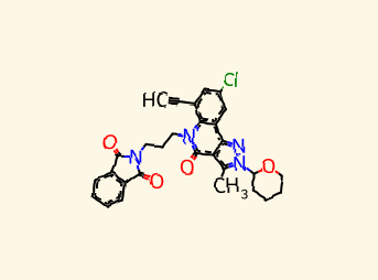 C#Cc1cc(Cl)cc2c3nn(C4CCCCO4)c(C)c3c(=O)n(CCCN3C(=O)c4ccccc4C3=O)c12